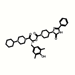 Cc1cc(C[C@@H](OC(=O)N2CCC(n3nc(-c4ccccc4)[nH]c3=O)CC2)C(=O)N2CCN(C3CCCCC3)CC2)cc(C)c1O